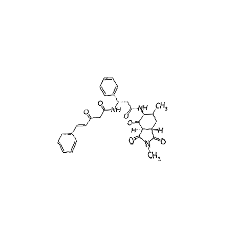 CC1C[C@@H]2C(=O)N(C)C(=O)[C@H]2C(=O)[C@H]1NC(=O)C[C@H](NC(=O)CC(=O)/C=C/c1ccccc1)c1ccccc1